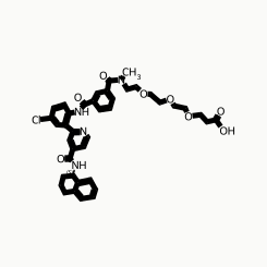 CN(CCOCCOCCOCCC(=O)O)C(=O)c1cccc(C(=O)Nc2ccc(Cl)cc2-c2cc(C(=O)N[C@H]3CCCc4ccccc43)ccn2)c1